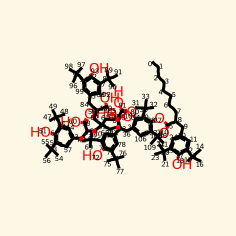 CCCCCCCCC(Cc1cc(C(C)(C)C)c(O)c(C(C)(C)C)c1)C(=O)Oc1c(C(C)(C)C)cc(CC(CC(CC(Cc2cc(C(C)(C)C)c(O)c(C(C)(C)C)c2)C(=O)O)(CC(Cc2cc(C(C)(C)C)c(O)c(C(C)(C)C)c2)C(=O)O)CC(Cc2cc(C(C)(C)C)c(O)c(C(C)(C)C)c2)C(=O)O)C(=O)O)cc1C(C)(C)C